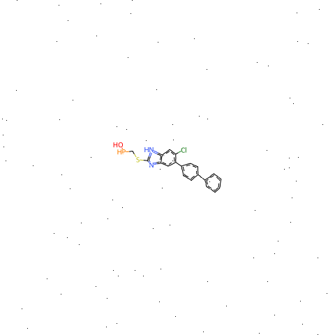 OPCSc1nc2cc(-c3ccc(-c4ccccc4)cc3)c(Cl)cc2[nH]1